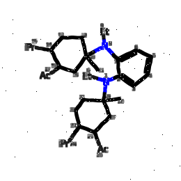 CCN(c1ccccc1N(CC)C1(C)CCC(C(C)C)C(C(C)=O)C1)C1(C)CCC(C(C)C)C(C(C)=O)C1